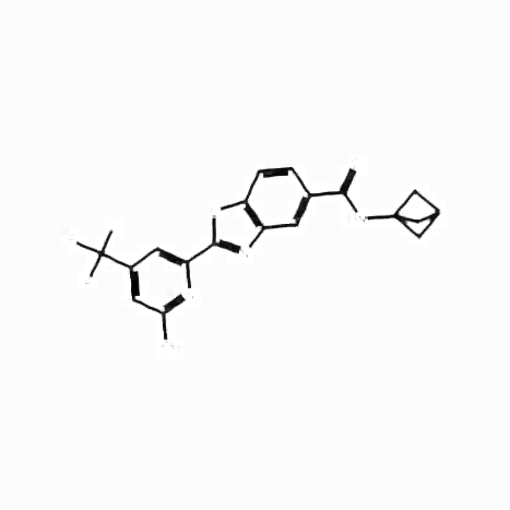 O=C(NC12CC(C1)C2)c1ccc2oc(-c3cc(C(F)(F)F)cc(O)n3)nc2c1